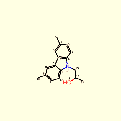 Cc1ccc2c(c1)c1cc(C)ccc1n2CC(C)O